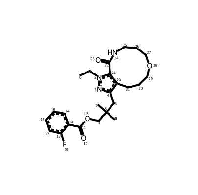 CCn1nc(CC(C)(C)COC(=O)c2ccccc2F)c2c1C(=O)NCCCOCCC2